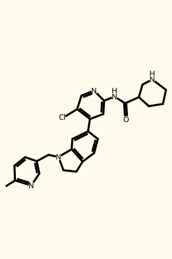 Cc1ccc(CN2CCc3ccc(-c4cc(NC(=O)C5CCCNC5)ncc4Cl)cc32)cn1